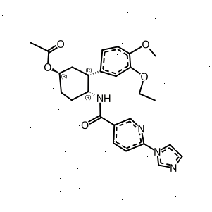 CCOc1cc([C@H]2C[C@H](OC(C)=O)CC[C@H]2NC(=O)c2ccc(-n3ccnc3)nc2)ccc1OC